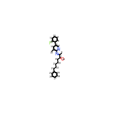 C/C(=N\c1ncc(-c2ccccc2F)cc1C)C(=O)CCCCCc1ccccc1